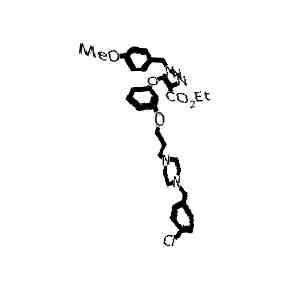 CCOC(=O)c1nnn(Cc2ccc(OC)cc2)c1Oc1cccc(OCCCN2CCN(Cc3ccc(Cl)cc3)CC2)c1